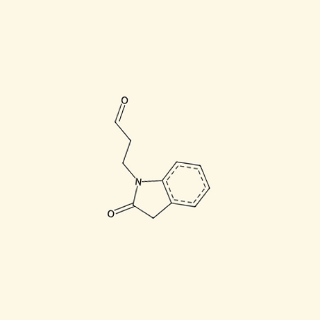 O=CCCN1C(=O)Cc2ccccc21